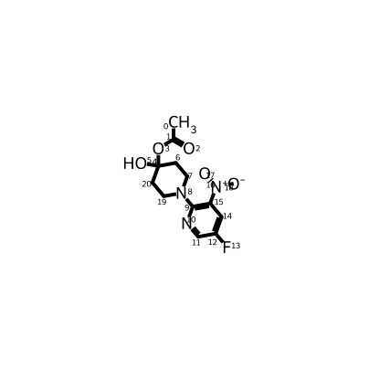 CC(=O)OC1(O)CCN(c2ncc(F)cc2[N+](=O)[O-])CC1